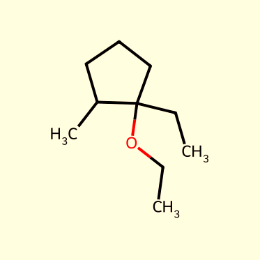 CCOC1(CC)CCCC1C